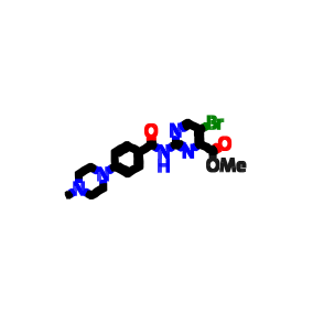 COC(=O)c1nc(NC(=O)c2ccc(N3CCN(C)CC3)cc2)ncc1Br